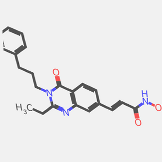 CCc1nc2cc(/C=C/C(=O)NO)ccc2c(=O)n1CCCc1ccccc1